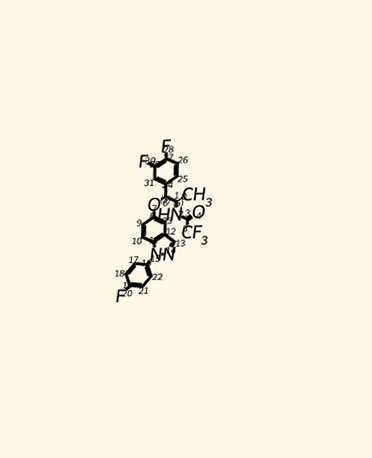 C[C@H](NC(=O)C(F)(F)F)[C@@H](Oc1ccc2c(cnn2-c2ccc(F)cc2)c1)c1ccc(F)c(F)c1